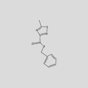 Cc1nc(C(=O)OCc2ccccc2)ns1